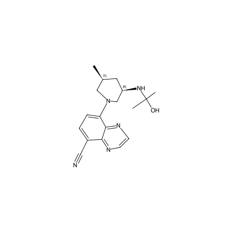 C[C@H]1C[C@@H](NC(C)(C)O)CN(c2ccc(C#N)c3nccnc23)C1